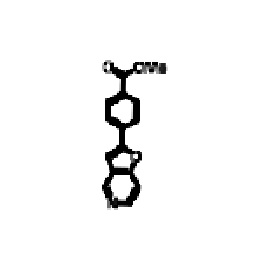 COC(=O)c1ccc(-c2cc3cnccc3o2)cc1